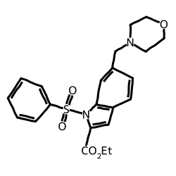 CCOC(=O)c1cc2ccc(CN3CCOCC3)cc2n1S(=O)(=O)c1ccccc1